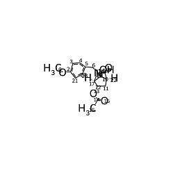 COc1ccc(CN2C(=O)[C@H]3C[C@H](OC(C)=O)[C@@H]2[C@@H]3O)cc1